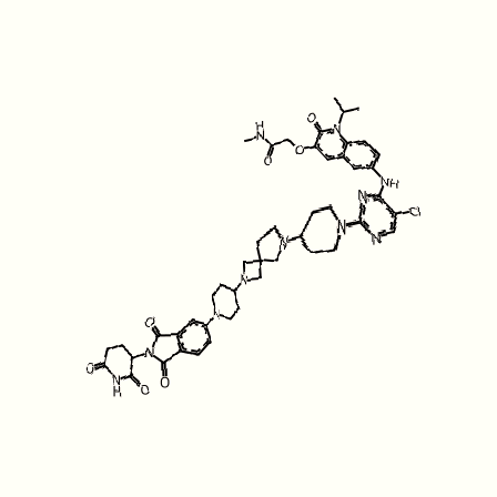 CNC(=O)COc1cc2cc(Nc3nc(N4CCC(N5CCC6(C5)CN(C5CCN(c7ccc8c(c7)C(=O)N(C7CCC(=O)NC7=O)C8=O)CC5)C6)CC4)ncc3Cl)ccc2n(C(C)C)c1=O